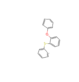 [c]1ccccc1Sc1ccccc1Oc1ccccc1